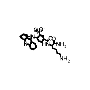 NCCCCC(NC(=O)c1ccc(Nc2c3ccccc3nc3ccccc23)c([N+](=O)[O-])c1)C(N)=O